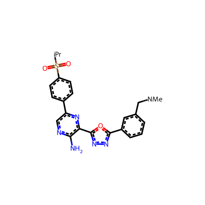 CNCc1cccc(-c2nnc(-c3nc(-c4ccc(S(=O)(=O)C(C)C)cc4)cnc3N)o2)c1